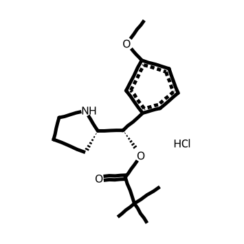 COc1cccc([C@H](OC(=O)C(C)(C)C)[C@@H]2CCCN2)c1.Cl